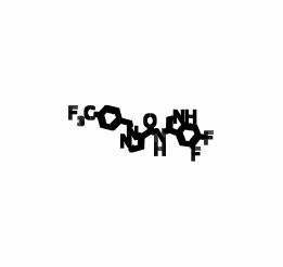 O=C(Nc1c[nH]c2cc(F)c(F)cc12)c1ccnn1Cc1ccc(C(F)(F)F)cc1